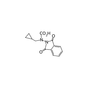 O=C(O)N(CC1CC1)N1C(=O)c2ccccc2C1=O